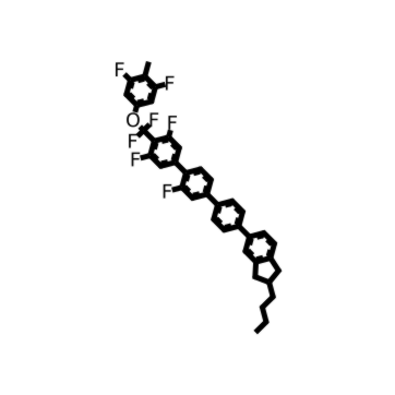 CCCCC1Cc2ccc(-c3ccc(-c4ccc(-c5cc(F)c(C(F)(F)Oc6cc(F)c(C)c(F)c6)c(F)c5)c(F)c4)cc3)cc2C1